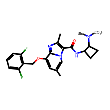 Cc1cc(OCc2c(F)cccc2F)c2nc(C)c(C(=O)NC3CCC3N(C(=O)O)C(C)(C)C)n2c1